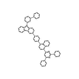 c1ccc(-c2cccc(-n3c4ccccc4c4cc(-c5ccc(-c6ccc(-c7cc(-c8ccccc8)nc(-c8ccccc8)n7)c7ccccc67)cc5)ccc43)c2)cc1